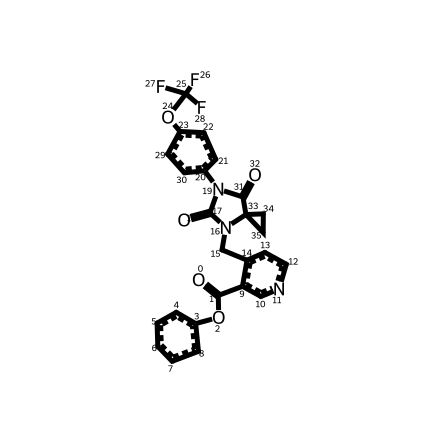 O=C(Oc1ccccc1)c1cnccc1CN1C(=O)N(c2ccc(OC(F)(F)F)cc2)C(=O)C12CC2